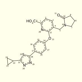 O=C(O)c1ccc(CN2CCCC2=O)c(Oc2ccc(-c3nnc(C4CC4)s3)cc2)n1